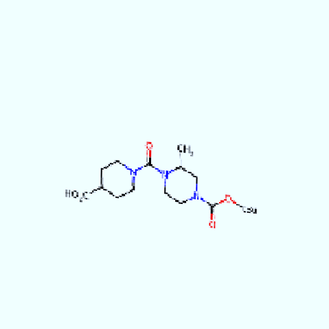 CC1CN(C(=O)OC(C)(C)C)CCN1C(=O)N1CCC(C(=O)O)CC1